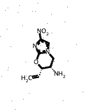 C=C[C@@H]1Oc2nc([N+](=O)[O-])cn2C[C@@H]1N